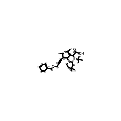 Cc1nc(C)c(C(OC(C)(C)C)C(=O)O)c(N2CCC(C)(C)CC2)c1C#CCOCc1ccccc1